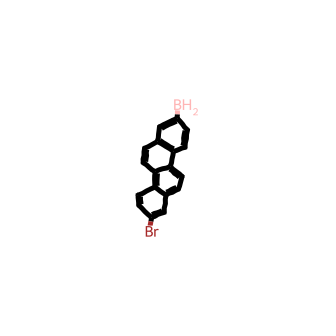 Bc1ccc2c(ccc3c4ccc(Br)cc4ccc23)c1